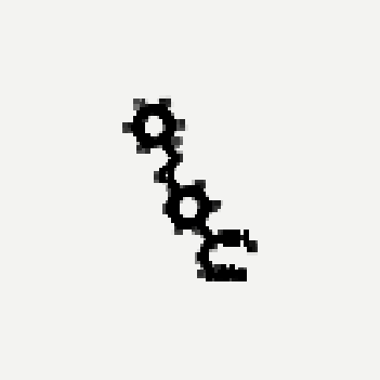 CNCC(N)c1ccc(OCc2ccccc2)cc1